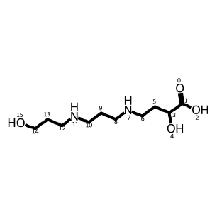 O=C(O)C(O)CCNCCCNCCCO